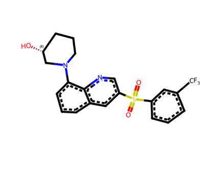 O=S(=O)(c1cccc(C(F)(F)F)c1)c1cnc2c(N3CCC[C@@H](O)C3)cccc2c1